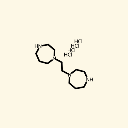 C1CNCCN(CCN2CCCNCC2)C1.Cl.Cl.Cl.Cl